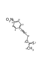 CC(=S)OCC#Cc1ccc([N+](=O)[O-])cc1